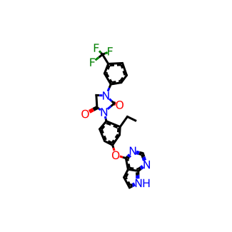 CCc1cc(Oc2ncnc3[nH]ccc23)ccc1N1C(=O)CN(c2cccc(C(F)(F)F)c2)C1=O